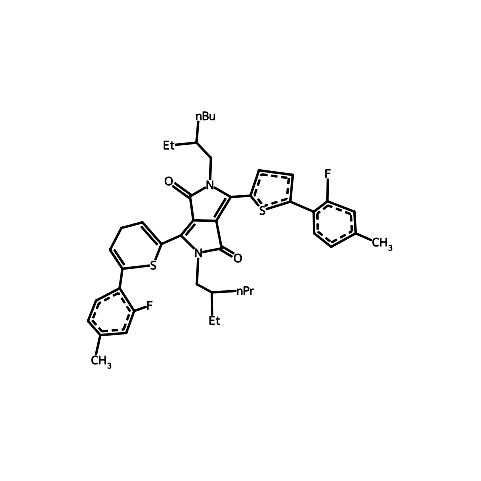 CCCCC(CC)CN1C(=O)C2=C(C3=CCC=C(c4ccc(C)cc4F)S3)N(CC(CC)CCC)C(=O)C2=C1c1ccc(-c2ccc(C)cc2F)s1